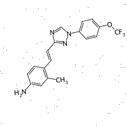 Cc1cc(N)ccc1C=Cc1ncn(-c2ccc(OC(F)(F)F)cc2)n1